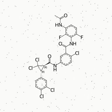 CC(=O)Nc1ccc(F)c(NC(=O)c2cc(NC(=O)[C@H]3[C@H](c4ccc(Cl)c(Cl)c4)C3(Cl)Cl)ccc2Cl)c1F